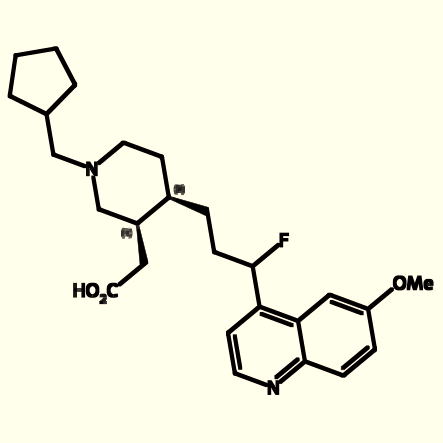 COc1ccc2nccc(C(F)CC[C@@H]3CCN(CC4CCCC4)C[C@@H]3CC(=O)O)c2c1